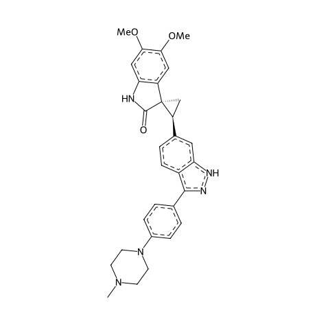 COc1cc2c(cc1OC)[C@]1(C[C@H]1c1ccc3c(-c4ccc(N5CCN(C)CC5)cc4)n[nH]c3c1)C(=O)N2